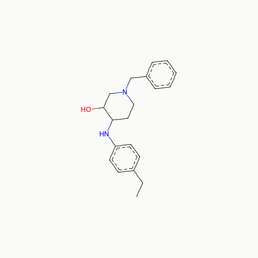 CCc1ccc(NC2CCN(Cc3ccccc3)CC2O)cc1